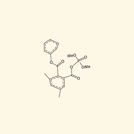 COP(=O)(OC)OC(=O)c1cc(C)cc(C)c1C(=O)Oc1ccccc1